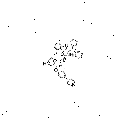 COC(=O)N[C@H](C(=O)Nc1ccccc1CC[C@@H]1CNC[C@@H](COc2ccc(-c3ccncc3)cc2)O1)C(c1ccccc1)c1ccccc1